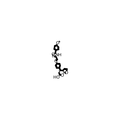 COc1ccc(C2NC(COc3ccc([C@H](CC(=O)O)c4ccon4)cc3)=NO2)cc1